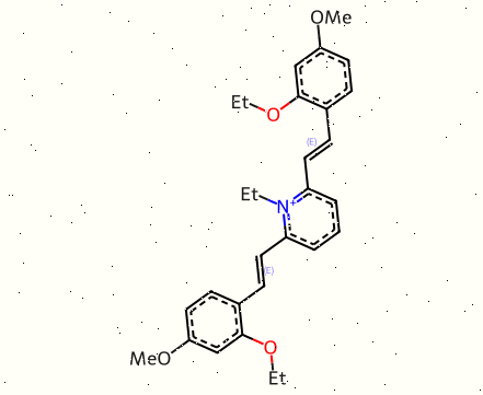 CCOc1cc(OC)ccc1/C=C/c1cccc(/C=C/c2ccc(OC)cc2OCC)[n+]1CC